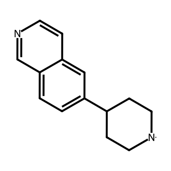 c1cc2cc(C3CC[N]CC3)ccc2cn1